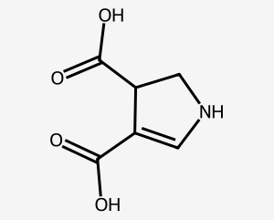 O=C(O)C1=CNCC1C(=O)O